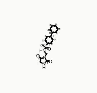 O=C1CNC(=O)N1CNS(=O)(=O)c1ccc(-c2ccccc2)cc1